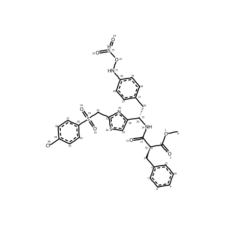 COC(=O)[C@@H](Cc1ccccc1)C(=O)N[C@@H](Cc1ccc(NO[SH](=O)=O)cc1)c1csc(CS(=O)(=O)c2ccc(Cl)cc2)n1